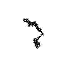 CNc1nc(-c2cnc3ccccc3c2)nc2c1CCN(C(=O)c1ccc(COc3ccc(C#CCN(C)CCCCCOC4=CC=CC5C(=O)N(C6CCC(=O)NC6=O)C(=O)C45C)cc3)cc1)C2